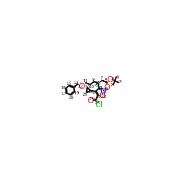 CC(C)(C)OC(=O)C[C@H](CCCOCc1ccccc1)c1noc(C(=O)Cl)c1C1CC1